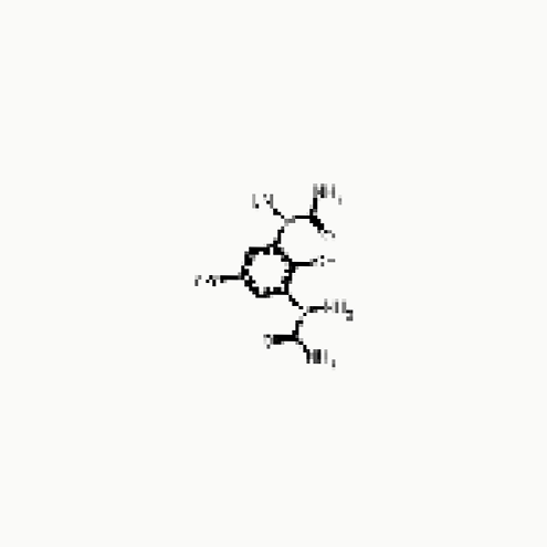 CCCc1cc(N(N)C(N)=O)c(O)c(N(N)C(N)=O)c1